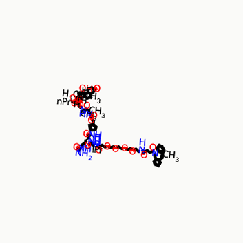 CCCC1O[C@@H]2C[C@H]3[C@@H]4CCC5=CC(=O)C=C[C@]5(C)[C@H]4[C@@H](O)C[C@]3(C)[C@]2(C(=O)COCN(C)C(=O)[C@H](C)NC(=O)OCc2ccc(NC(=O)[C@H](CCCNC(N)=O)NC(=O)[C@@H](NC(=O)CCOCCOCCOCCOCCNC(=O)CCC(=O)N3Cc4ccccc4/C=C(/C)c4ccccc43)C(C)C)cc2)O1